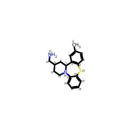 Cc1ccc2c(c1)C1CC(CN)CCN1c1ccccc1S2